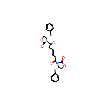 O=C(CC=CCC(=O)N1C(=O)OC[C@@H]1Cc1ccccc1)N1C(=O)OC[C@@H]1Cc1ccccc1